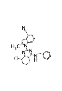 Cc1cc2c(C#N)cccc2n1-c1nc(NCc2ccccc2)c2c(n1)C(Cl)CCC2